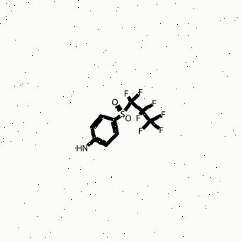 [NH]c1ccc(S(=O)(=O)C(F)(F)C(F)(F)C(F)(F)F)cc1